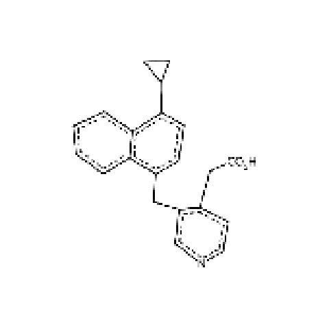 O=C(O)Cc1ccncc1Cc1ccc(C2CC2)c2ccccc12